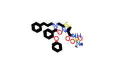 CN(C)S(=O)(=O)NC(=O)c1csc(CN(CCCc2ccccc2)C(=O)c2ccccc2Oc2ccccc2)n1